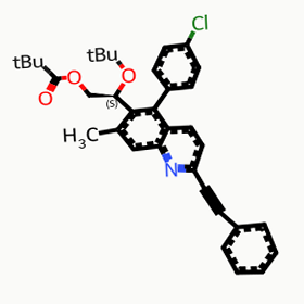 Cc1cc2nc(C#Cc3ccccc3)ccc2c(-c2ccc(Cl)cc2)c1[C@@H](COC(=O)C(C)(C)C)OC(C)(C)C